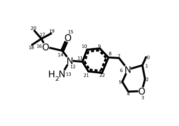 CC1COCCN1Cc1ccc(N(N)C(=O)OC(C)(C)C)cc1